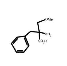 COCC(N)(Cc1ccccc1)C(=O)O